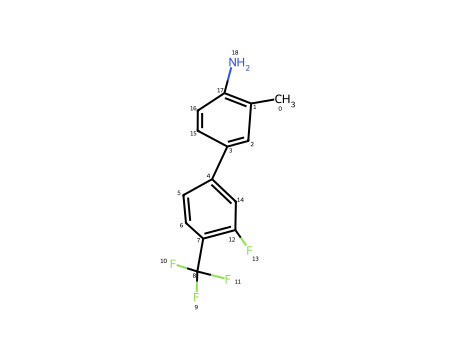 Cc1cc(-c2ccc(C(F)(F)F)c(F)c2)ccc1N